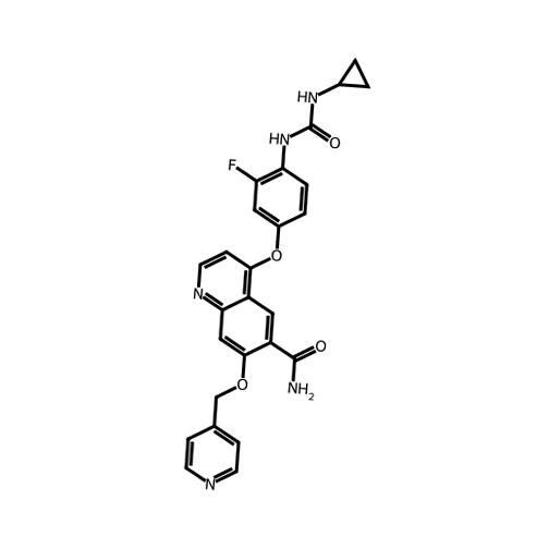 NC(=O)c1cc2c(Oc3ccc(NC(=O)NC4CC4)c(F)c3)ccnc2cc1OCc1ccncc1